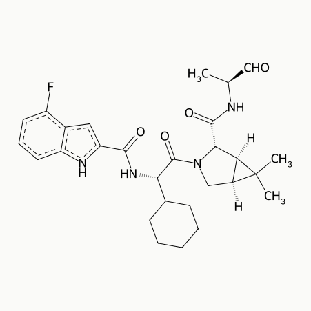 C[C@@H](C=O)NC(=O)[C@@H]1[C@@H]2[C@H](CN1C(=O)[C@@H](NC(=O)c1cc3c(F)cccc3[nH]1)C1CCCCC1)C2(C)C